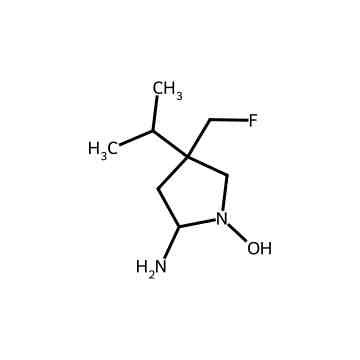 CC(C)C1(CF)CC(N)N(O)C1